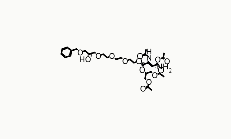 CC(=O)NC(=C[C@H](N)OC(C)=O)[C@H](OCCOCCOCCOC[C@H](O)COCc1ccccc1)OC(COC(C)=O)COC(C)=O